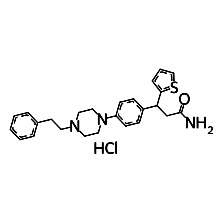 Cl.NC(=O)CC(c1ccc(N2CCN(CCc3ccccc3)CC2)cc1)c1cccs1